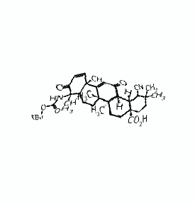 CC(C)(C)OC(=O)N[C@]1(C)C(=O)C=C[C@]2(C)C3=CC(=O)[C@@H]4[C@@H]5C(C#N)C(C)(C)CC[C@]5(C(=O)O)CC[C@@]4(C)[C@]3(C)CC[C@H]21